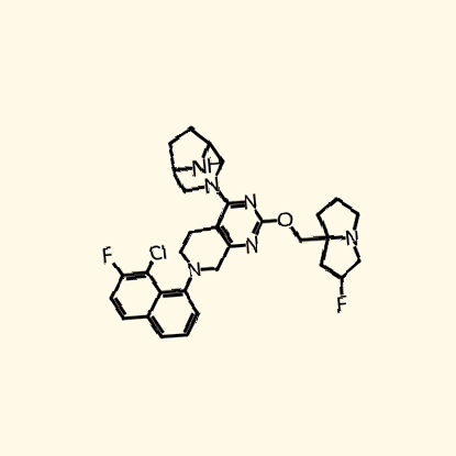 Fc1ccc2cccc(N3CCc4c(nc(OCC56CCCN5CC(F)C6)nc4N4CC5CCC(C4)N5)C3)c2c1Cl